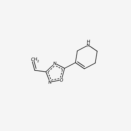 C=Cc1noc(C2=CCCNC2)n1